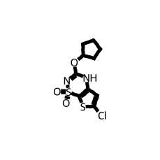 O=S1(=O)N=C(OC2CCCC2)Nc2cc(Cl)sc21